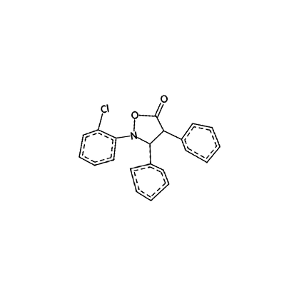 O=C1ON(c2ccccc2Cl)C(c2ccccc2)C1c1ccccc1